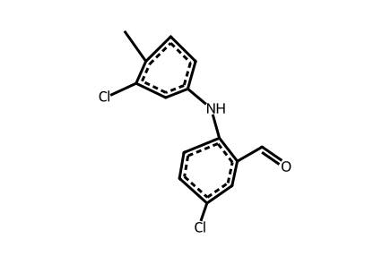 Cc1ccc(Nc2ccc(Cl)cc2C=O)cc1Cl